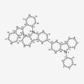 c1ccc(-n2c3ccccc3c3cc(-c4ccc5c(c4)c4ccccc4n5-c4ccccc4-c4cc5ccccc5s4)ccc32)cc1